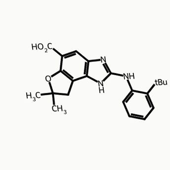 CC1(C)Cc2c(c(C(=O)O)cc3nc(Nc4ccccc4C(C)(C)C)[nH]c23)O1